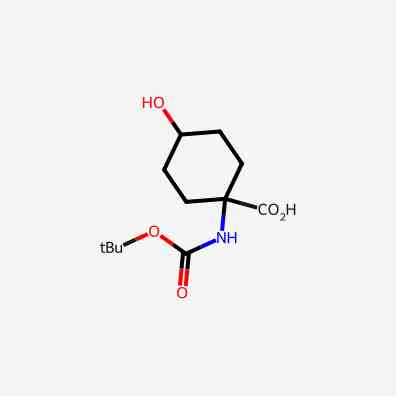 CC(C)(C)OC(=O)NC1(C(=O)O)CCC(O)CC1